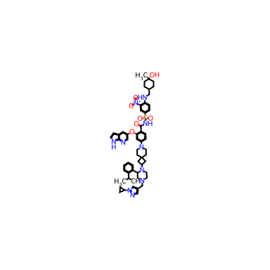 CC(C)c1ccccc1C1CN(Cc2cnn(C3CC3)c2)CCN1C1CC2(CCN(c3ccc(C(=O)NS(=O)(=O)c4ccc(NCC5CCC(C)(O)CC5)c([N+](=O)[O-])c4)c(Oc4cnc5[nH]ccc5c4)c3)CC2)C1